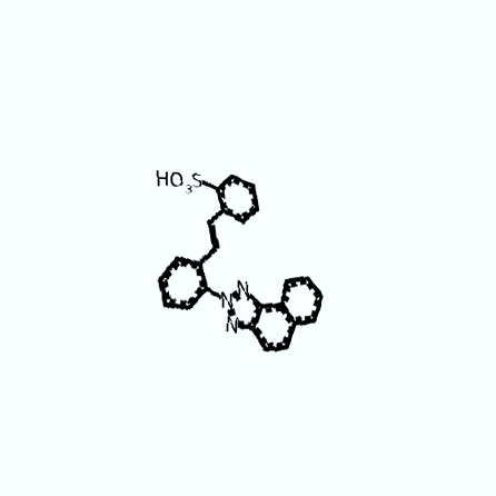 O=S(=O)(O)c1ccccc1/C=C/c1ccccc1-n1nc2ccc3ccccc3c2n1